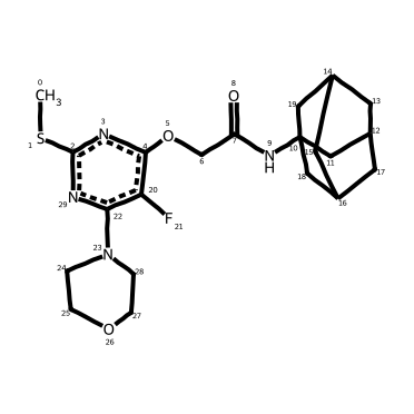 CSc1nc(OCC(=O)NC23CC4CC(CC(C4)C2)C3)c(F)c(N2CCOCC2)n1